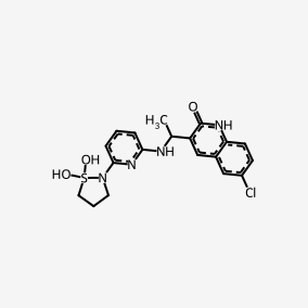 CC(Nc1cccc(N2CCCS2(O)O)n1)c1cc2cc(Cl)ccc2[nH]c1=O